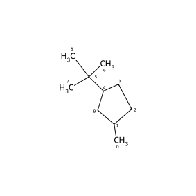 CC1CCC(C(C)(C)C)C1